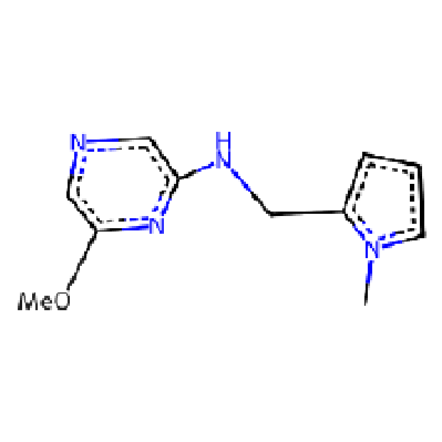 COc1cncc(NCc2cccn2C)n1